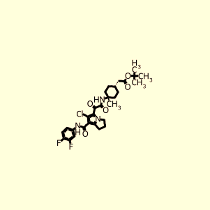 CC(C)(C)OC(=O)C[C@H]1CC[C@@](C)(NC(=O)C(=O)c2c(Cl)c(C(=O)Nc3ccc(F)c(F)c3)c3n2CCC3)CC1